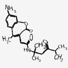 Cc1c(CC(=O)NC(C)(C)CC(=O)C(C)C)c(=O)oc2cc(N)ccc12